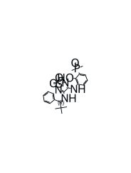 CC(C)(C)[C@@H](NC1=NS(=O)(=O)N=C1Nc1cccc(P(C)(C)=O)c1O)c1ccccc1